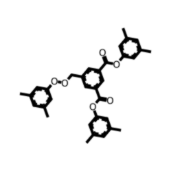 Cc1cc(C)cc(OOCc2cc(C(=O)Oc3cc(C)cc(C)c3)cc(C(=O)Oc3cc(C)cc(C)c3)c2)c1